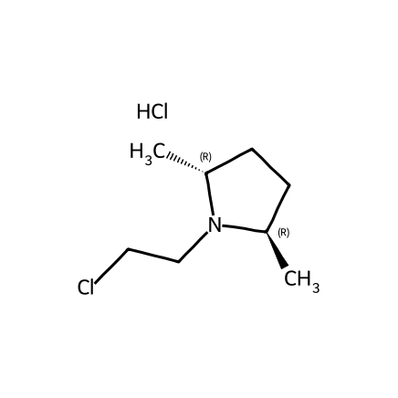 C[C@@H]1CC[C@@H](C)N1CCCl.Cl